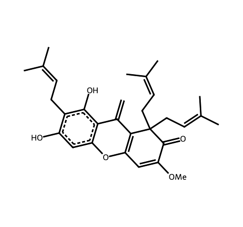 C=C1C2=C(C=C(OC)C(=O)C2(CC=C(C)C)CC=C(C)C)Oc2cc(O)c(CC=C(C)C)c(O)c21